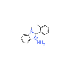 Cc1ccccc1-c1n(C)c2ccccc2[n+]1N